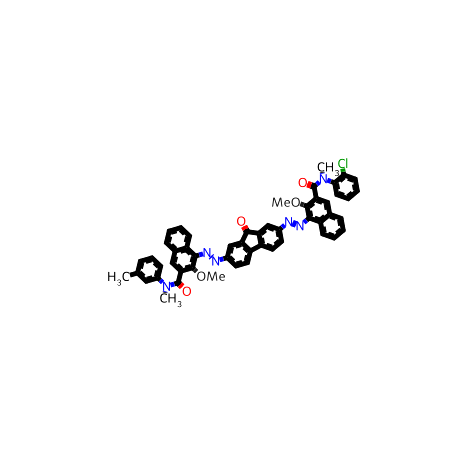 COc1c(C(=O)N(C)c2cccc(C)c2)cc2ccccc2c1N=Nc1ccc2c(c1)C(=O)c1cc(N=Nc3c(OC)c(C(=O)N(C)c4ccccc4Cl)cc4ccccc34)ccc1-2